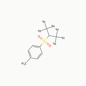 [2H]C([2H])([2H])C(C([2H])([2H])[2H])S(=O)(=O)c1ccc(C)cc1